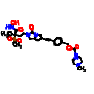 CN1CCN(C(=O)OCc2ccc(C#Cc3cc4n(c3)C(=O)N(CCC(C)(C(=O)NO)S(C)(=O)=O)C4)cc2)CC1